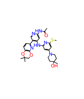 CSc1cc(N2CCC(C)(O)CC2)cc(Nc2cc(NC(C)=O)ncc2-c2ccc3c(n2)OCC(C)(C)O3)n1